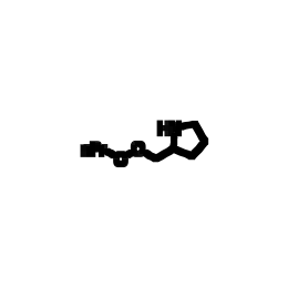 CCCOOCC1CCCN1